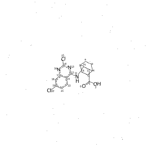 O=C(O)C1C2CCC(CC2)C1Nc1nc(Cl)nc2cc(Cl)ccc12